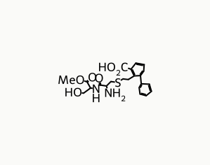 COC(=O)C(CO)NC(=O)C(N)CSCCc1c(C(=O)O)cccc1-c1ccccc1